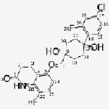 O=C1CCc2c(OC[C@]3(O)CC[C@@](O)(c4ccc(Cl)cc4F)CC3)ccc(F)c2N1